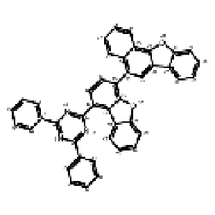 c1ccc(-c2nc(-c3ccccc3)nc(-c3ccc(-c4cc5c6ccccc6oc5c5ccccc45)c4oc5ccccc5c34)n2)cc1